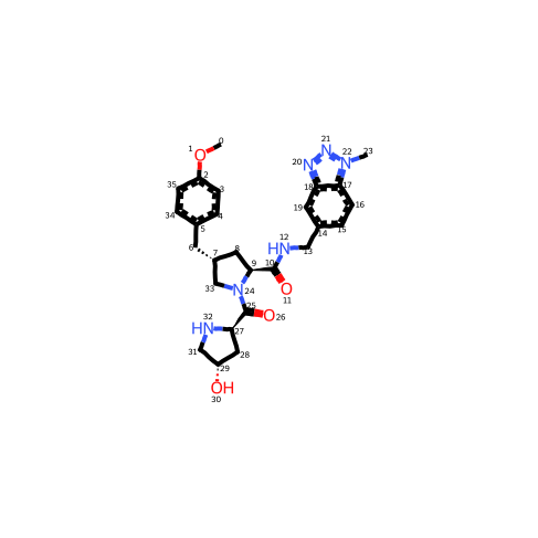 COc1ccc(C[C@@H]2C[C@@H](C(=O)NCc3ccc4c(c3)nnn4C)N(C(=O)[C@H]3C[C@H](O)CN3)C2)cc1